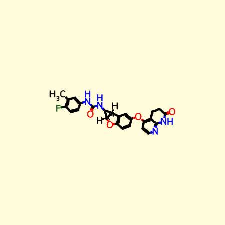 Cc1cc(NC(=O)NC2[C@H]3Oc4ccc(Oc5ccnc6c5CCC(=O)N6)cc4[C@@H]23)ccc1F